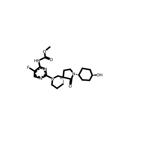 COC(=O)Nc1nc(N2CCC[C@@]3(CCN([C@H]4CC[C@H](O)CC4)C3=O)C2)ncc1F